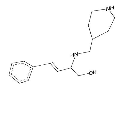 OCC(/C=C/c1ccccc1)NCC1CCNCC1